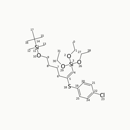 CCO[Si](C=C(CCCCO[Si](C)(C)C(C)(C)C)Sc1ccc(Cl)cc1)(OCC)OCC